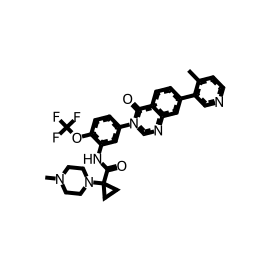 Cc1ccncc1-c1ccc2c(=O)n(-c3ccc(OC(F)(F)F)c(NC(=O)C4(N5CCN(C)CC5)CC4)c3)cnc2c1